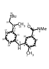 CNC(=O)c1ccc(C)c(Nc2cc(N(C)CC(C)(C)C)ncn2)c1